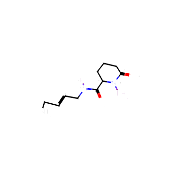 BC/C=C/CN(P)C(=O)C1CCCC(=O)N1P